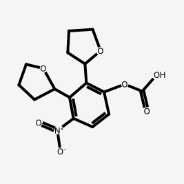 O=C(O)Oc1ccc([N+](=O)[O-])c(C2CCCO2)c1C1CCCO1